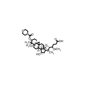 COC(CCC(=O)O)C[C@@H](C)C1C[C@H](O)C2(C)[C@@H]3CC[C@H]4C(C)(C)[C@@H](OC(=O)N5CCOCC5)CC[C@@]45CC35CC[C@]12C